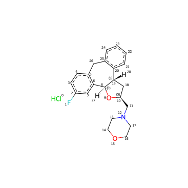 Cl.Fc1ccc2c(c1)[C@@H]1O[C@H](CN3CCOCC3)C[C@H]1c1ccccc1C2